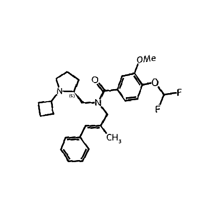 COc1cc(C(=O)N(CC(C)=Cc2ccccc2)C[C@@H]2CCCN2C2CCC2)ccc1OC(F)F